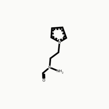 NN(C=O)CCn1cccc1